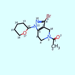 CC(=O)N1CCc2c(c(Br)nn2C2CCCCO2)C1